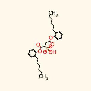 CCCCCCc1ccccc1OC(=O)CC(C(=O)Oc1ccccc1CCCCCC)S(=O)(=O)O